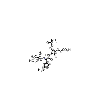 CC(C)(O/N=C(/C(=O)NC1C(=O)N(OCC(=O)O)C1COC(N)=O)c1csc(N)n1)C(=O)O